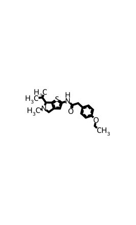 CCOc1ccc(CC(=O)Nc2cc3c(s2)C(C(C)C)N(C)C3)cc1